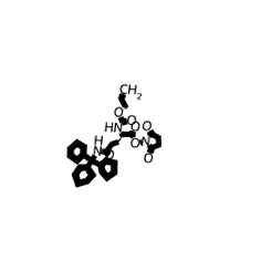 C=CCOC(=O)N[C@@H](CCC(=O)NC(c1ccccc1)(c1ccccc1)c1ccccc1)C(=O)ON1C(=O)CCC1=O